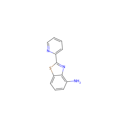 Nc1cccc2sc(-c3ccccn3)nc12